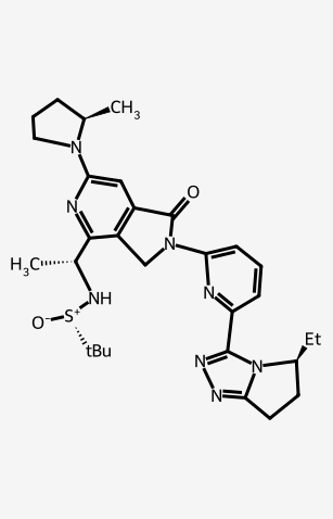 CC[C@H]1CCc2nnc(-c3cccc(N4Cc5c(cc(N6CCC[C@H]6C)nc5[C@@H](C)N[S@@+]([O-])C(C)(C)C)C4=O)n3)n21